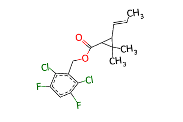 CC=CC1C(C(=O)OCc2c(Cl)c(F)cc(F)c2Cl)C1(C)C